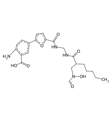 CCCCCC(CN(O)C=O)C(=O)NCNC(=O)c1ccc(-c2ccc(N)c(C(=O)O)c2)o1